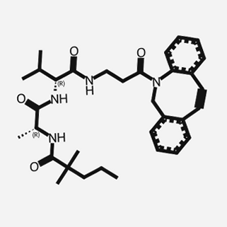 CCCC(C)(C)C(=O)N[C@H](C)C(=O)N[C@@H](C(=O)NCCC(=O)N1Cc2ccccc2C#Cc2ccccc21)C(C)C